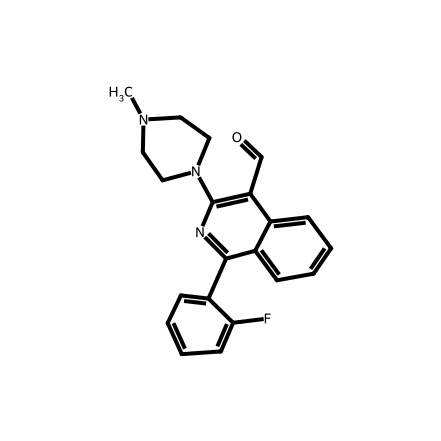 CN1CCN(c2nc(-c3ccccc3F)c3ccccc3c2C=O)CC1